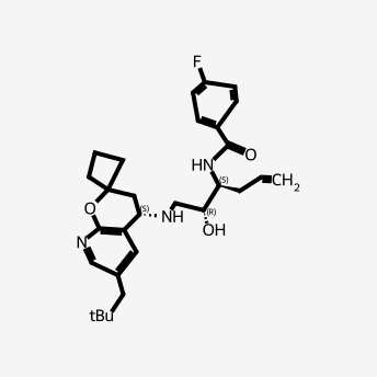 C=CC[C@H](NC(=O)c1ccc(F)cc1)[C@H](O)CN[C@H]1CC2(CCC2)Oc2ncc(CC(C)(C)C)cc21